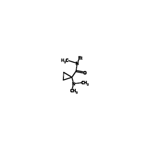 CCN(C)C(=O)C1(N(C)C)CC1